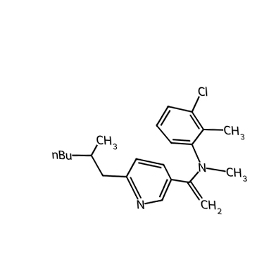 C=C(c1ccc(CC(C)CCCC)nc1)N(C)c1cccc(Cl)c1C